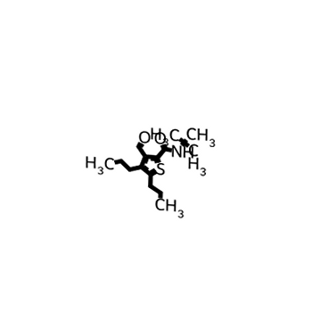 CCCc1sc(C(=O)NC(C)(C)C)c(C=O)c1CCC